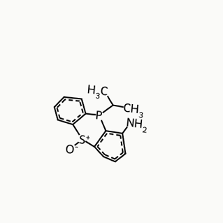 CC(C)P1c2ccccc2[S+]([O-])c2cccc(N)c21